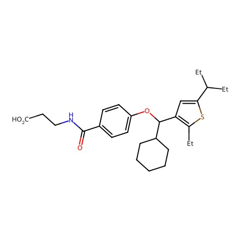 CCc1sc(C(CC)CC)cc1C(Oc1ccc(C(=O)NCCC(=O)O)cc1)C1CCCCC1